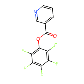 O=C(Oc1c(F)c(F)c(F)c(F)c1F)c1cccnc1